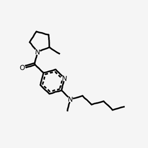 CCCCCN(C)c1ccc(C(=O)N2CCCC2C)cn1